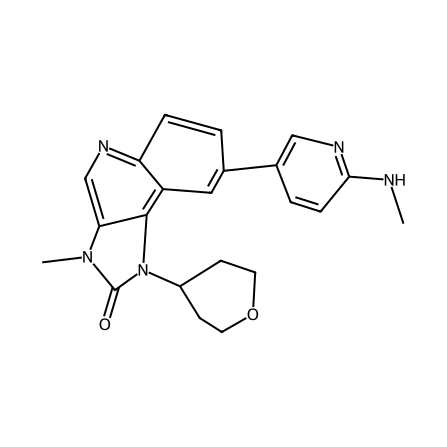 CNc1ccc(-c2ccc3ncc4c(c3c2)n(C2CCOCC2)c(=O)n4C)cn1